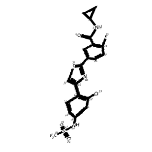 O=C(NC1CC1)c1cc(-c2nc(-c3ccc(NS(=O)(=O)C(F)(F)F)cc3Cl)cs2)ccc1F